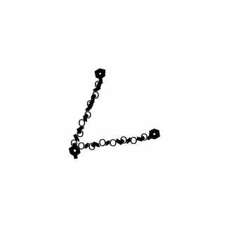 Cc1ccc(OCCOCCOCCOCCOCCOCCOCc2ccccc2)c(OCCOCCOCCOCCOCCOCCOCc2ccccc2)c1